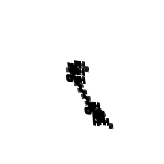 O=C(NCCCCCCCNC(=O)c1cnc(P)[nH]1)c1cnc(P)[nH]1